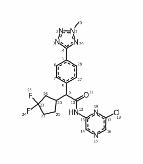 Cn1nnc(-c2ccc(C(C(=O)Nc3cncc(Cl)n3)C3CCC(F)(F)C3)cc2)n1